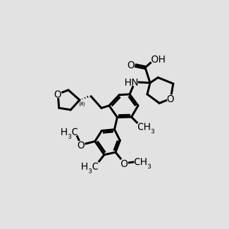 COc1cc(-c2c(C)cc(NC3(C(=O)O)CCOCC3)cc2CC[C@@H]2CCOC2)cc(OC)c1C